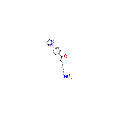 NCCCCCC(=O)c1ccc(-n2cccn2)cc1